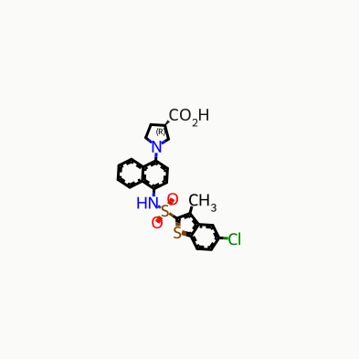 Cc1c(S(=O)(=O)Nc2ccc(N3CC[C@@H](C(=O)O)C3)c3ccccc23)sc2ccc(Cl)cc12